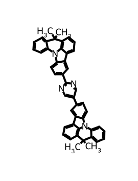 CC1(C)c2ccccc2-n2c3ccc(-c4cnc(-c5ccc6c(c5)c5cccc7c5n6-c5ccccc5C7(C)C)nc4)cc3c3cccc1c32